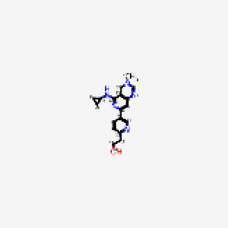 CN1C=Nc2cc(-c3ccc(CCO)nc3)nc(NC3CC3)c2C1